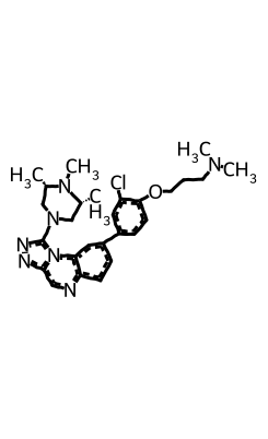 C[C@@H]1CN(c2nnc3cnc4ccc(-c5ccc(OCCCN(C)C)c(Cl)c5)cc4n23)C[C@H](C)N1C